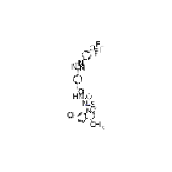 CC1C=C2CS/C(=N\C(=O)NOCc3ccc(-c4ncn(-c5ccc(OC(F)(F)F)cc5)n4)cc3)N2c2cc(Cl)ccc21